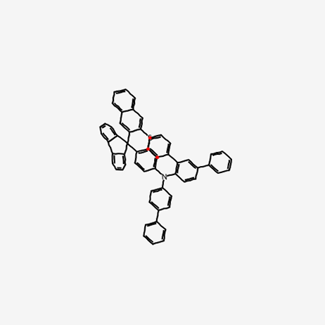 c1ccc(-c2ccc(N(c3ccc4c(c3)Sc3cc5ccccc5cc3C43c4ccccc4-c4ccccc43)c3ccc(-c4ccccc4)cc3-c3ccccc3)cc2)cc1